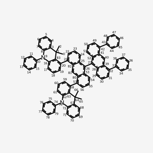 CC1(C)c2ccccc2N(c2ccccc2)c2cccc(-c3cccc4c(-c5c6cccc(-c7ccccc7)c6cc6c(-c7ccccc7)cccc56)c5cccc(-c6cccc7c6C(C)(C)c6ccccc6N7c6ccccc6)c5cc34)c21